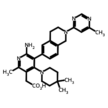 Cc1cc(N2CCc3cc(-c4c(N)nc(C)c(CC(=O)O)c4N4CCC(C)(C)CC4)ccc3C2)ncn1